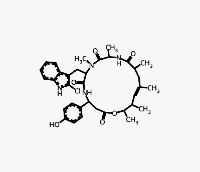 C/C1=C\C(C)C(C)OC(=O)CC(c2ccc(O)cc2)NC(=O)C(Cc2c(Cl)[nH]c3ccccc23)N(C)C(=O)C(C)NC(=O)C(C)C1